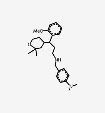 COc1ccccc1C(CCNCc1ccc(N(C)C)cc1)C1CCOC(C)(C)C1